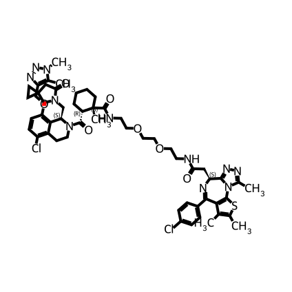 Cc1sc2c(c1C)C(c1ccc(Cl)cc1)=N[C@@H](CC(=O)NCCOCCOCCNC(=O)[C@@]1(C)CCCC[C@H]1C(=O)N1CCc3c(Cl)ccc(OCc4nnn(C)c4C)c3[C@H]1CN1CC3(CC3)CC1=O)c1nnc(C)n1-2